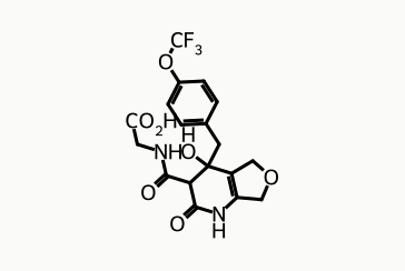 O=C(O)CNC(=O)C1C(=O)NC2=C(COC2)C1(O)Cc1ccc(OC(F)(F)F)cc1